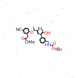 CC/C(=C\C(=C(/C)O)c1cccc(CNC(=O)OC(C)(C)C)c1)C(C)Oc1ccc(C#N)cc1CC(=O)OC